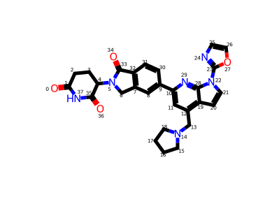 O=C1CCC(N2Cc3cc(-c4cc(CN5CCCC5)c5ccn(-c6ncco6)c5n4)ccc3C2=O)C(=O)N1